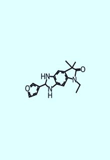 CCN1C(=O)C(C)(C)c2cc3c(cc21)NC(c1ccoc1)N3